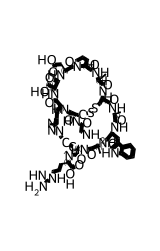 C[C@@H]1NC(=O)C(Cc2c[nH]c3ccccc23)NC(=O)[C@H](C)NC(=O)[C@@H]2CSSCC(NC(=O)CN)C(=O)N[C@@H](Cc3cn(nn3)CCC[C@H](C(=O)N(C)[C@H](CCCNC(=N)N)C(=O)O)NC1=O)C(=O)N[C@@H]([C@@H](C)O)C(=O)N[C@@H](CC(=O)O)C(=O)N1CCC[C@H]1C(=O)N[C@@H](C)C(=O)N2